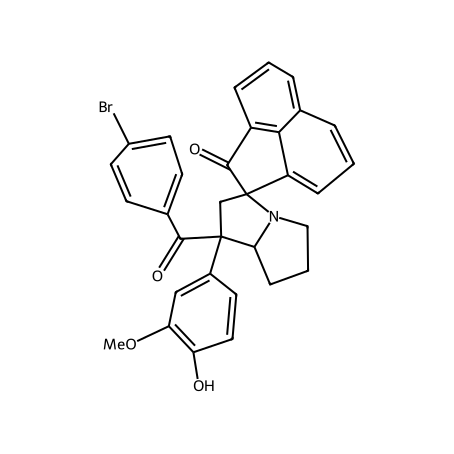 COc1cc(C2(C(=O)c3ccc(Br)cc3)CC3(C(=O)c4cccc5cccc3c45)N3CCCC32)ccc1O